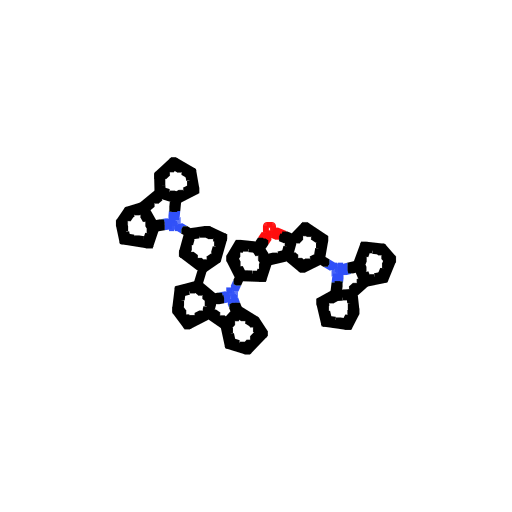 c1cc(-c2cccc3c4ccccc4n(-c4ccc5oc6ccc(-n7c8ccccc8c8ccccc87)cc6c5c4)c23)cc(-n2c3ccccc3c3ccccc32)c1